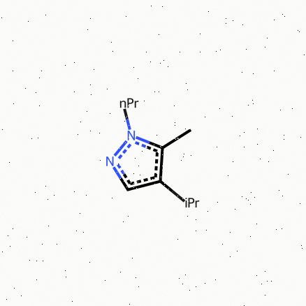 CCCn1ncc(C(C)C)c1C